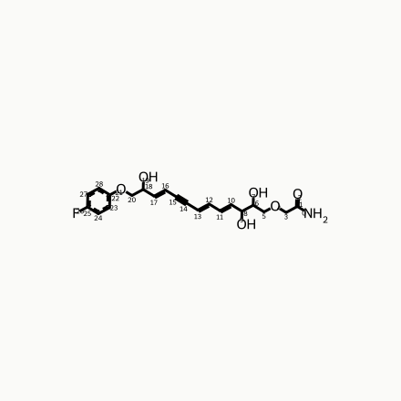 NC(=O)COCC(O)C(O)C=CC=CC#CC=CC(O)COc1ccc(F)cc1